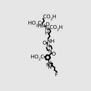 O=C(O)CC[C@H](NC(=O)N[C@@H](CCCCNC(=O)N1CCN(C(=O)c2cc(C(=O)O)cc(-n3cc(CCCF)nn3)c2)CC1)C(=O)O)C(=O)O